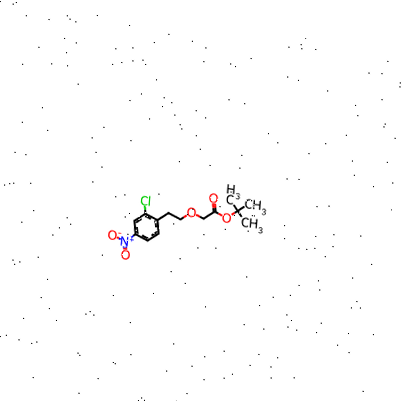 CC(C)(C)OC(=O)COCCc1ccc([N+](=O)[O-])cc1Cl